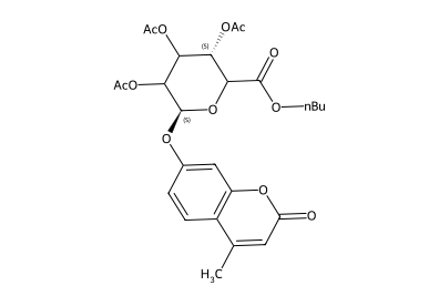 CCCCOC(=O)C1O[C@@H](Oc2ccc3c(C)cc(=O)oc3c2)C(OC(C)=O)C(OC(C)=O)[C@@H]1OC(C)=O